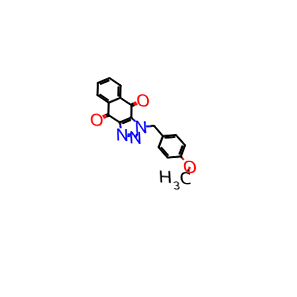 COc1ccc(Cn2nnc3c2C(=O)c2ccccc2C3=O)cc1